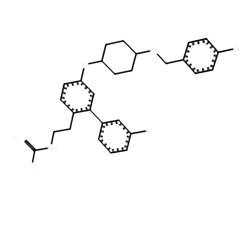 C=C(C)NCCc1ccc(OC2CCC(OCc3ccc(Br)cc3)CC2)cc1-c1cccc(I)c1